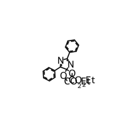 CCOC(=O)OC1(OC(=O)OCC)N=C(c2ccccc2)N=C1c1ccccc1